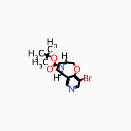 CC(C)(C)OC(=O)N1[C@@H]2CC[C@H]1c1cncc(Br)c1OC2